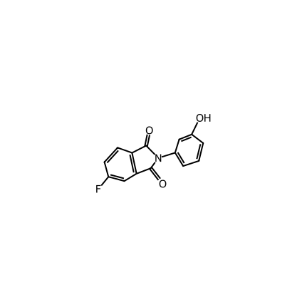 O=C1c2ccc(F)cc2C(=O)N1c1cccc(O)c1